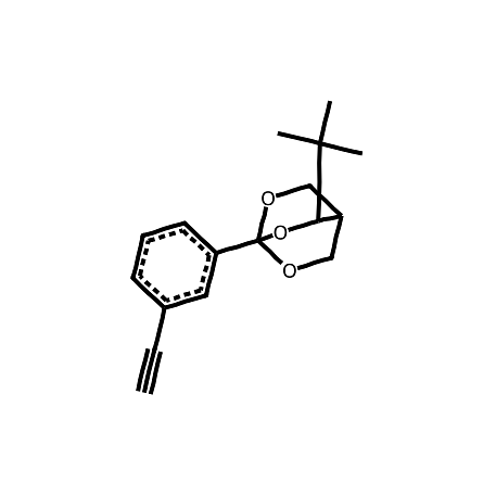 C#Cc1cccc(C23OCC(CO2)C(C(C)(C)C)O3)c1